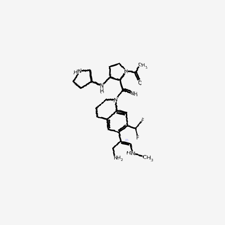 CN/C=C(\CN)c1cc2c(cc1C(F)F)N(C(=N)C1C(NC3CCNC3)CCN1C(C)=O)CCC2